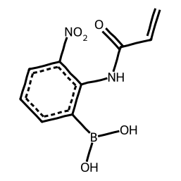 C=CC(=O)Nc1c(B(O)O)cccc1[N+](=O)[O-]